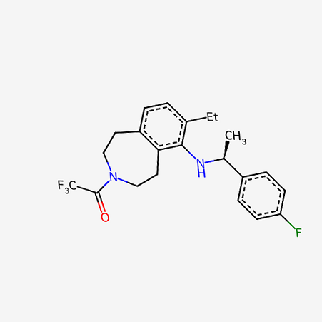 CCc1ccc2c(c1N[C@@H](C)c1ccc(F)cc1)CCN(C(=O)C(F)(F)F)CC2